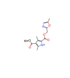 COC(=O)c1c(C)[nH]c(C(=O)OCc2ncc(C)o2)c1C